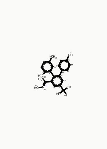 Cc1ccc(C)c(-c2c(/C(N)=N/O)cc(C(F)(F)F)cc2-c2ccc(O)cc2)c1